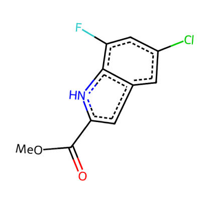 COC(=O)c1cc2cc(Cl)cc(F)c2[nH]1